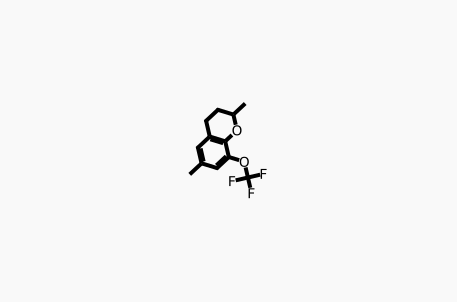 Cc1cc2c(c(OC(F)(F)F)c1)OC(C)CC2